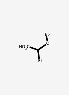 C[CH]OC(CC)C(=O)O